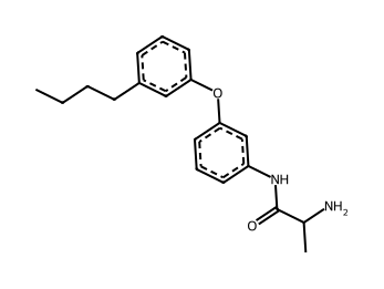 CCCCc1cccc(Oc2cccc(NC(=O)C(C)N)c2)c1